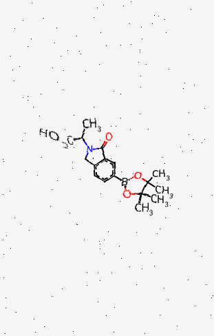 C[C@H](C(=O)O)N1Cc2ccc(B3OC(C)(C)C(C)(C)O3)cc2C1=O